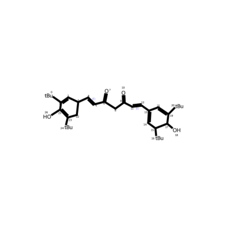 CC(C)(C)C1=CC(/C=C/C(=O)CC(=O)/C=C/C2=CC(C(C)(C)C)C(O)C(C(C)(C)C)=C2)CC(C(C)(C)C)=C1O